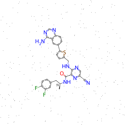 C[C@@H](Cc1ccc(F)c(F)c1)NC(=O)c1nc(C#N)cnc1NCc1ccc(-c2ccc3ncnc(N)c3c2)s1